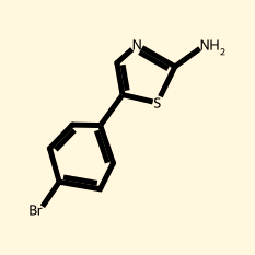 Nc1ncc(-c2ccc(Br)cc2)s1